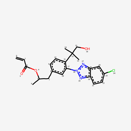 C=CC(=O)OC(C)Cc1ccc(C(C)(C)CO)c(-n2nc3ccc(Cl)cc3n2)c1